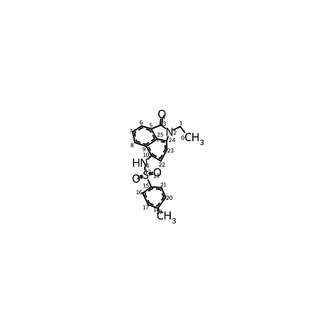 CCN1C(=O)c2cccc3c(NS(=O)(=O)c4ccc(C)cc4)ccc1c23